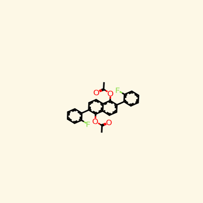 CC(=O)Oc1c(-c2ccccc2F)ccc2c(OC(C)=O)c(-c3ccccc3F)ccc12